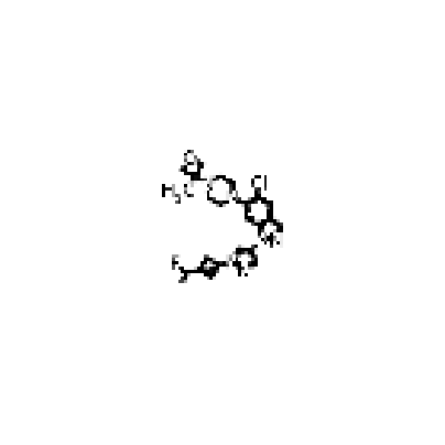 CC1(N2CCN(c3cc4c(cnn4-c4cnn(C56CC(C(F)F)(C5)C6)c4)cc3Cl)CC2)COC1